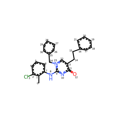 Cc1c(Cl)cccc1Nc1nc(=O)c(CCc2ccccc2)cn1Cc1ccccc1